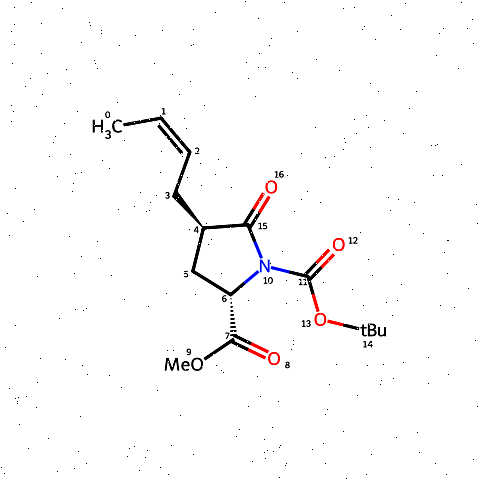 C/C=C\C[C@@H]1C[C@@H](C(=O)OC)N(C(=O)OC(C)(C)C)C1=O